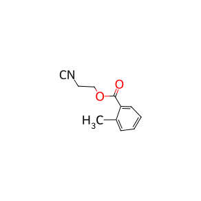 [C-]#[N+]CCOC(=O)c1ccccc1C